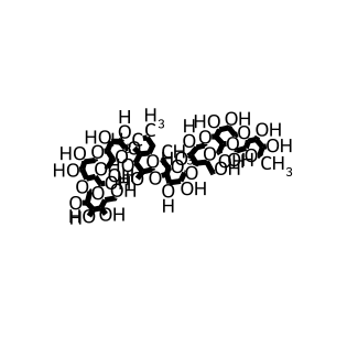 CCC1OC(OC2C(CO)OC(OC3C(CO)OC(OC4C(CO)OC(C)C(O)C4O)C(O)C3O)C(O)C2O)C(O)C(O)C1OC1OC(CC(C)C)C(OC2OC(CO)C(OC3OC(CO)C(OC4OC(CO)C(O)C(O)C4O)C(O)C3O)C(O)C2O)C(O)C1O